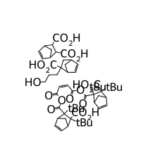 CC(C)(C)C1(C(=O)O)C2C=CC(C2)C1(C(=O)OC(=O)/C=C\C(=O)OC(=O)C1(C(C)(C)C)C2C=CC(C2)C1(C(=O)O)C(C)(C)C)C(C)(C)C.O=C(O)C1(CCCO)CC2C=CC1C2.O=C(O)C1C2C=CC(C2)C1C(=O)O